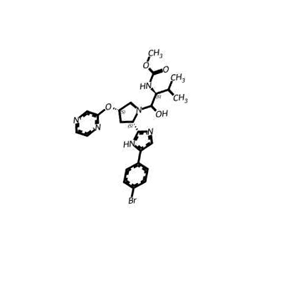 COC(=O)N[C@@H](C(C)C)C(O)N1C[C@@H](Oc2cnccn2)C[C@H]1c1ncc(-c2ccc(Br)cc2)[nH]1